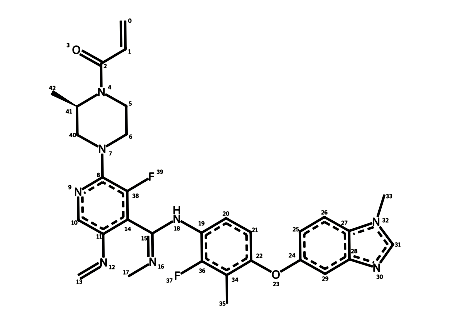 C=CC(=O)N1CCN(c2ncc(N=C)c(/C(=N\C)Nc3ccc(Oc4ccc5c(c4)ncn5C)c(C)c3F)c2F)C[C@H]1C